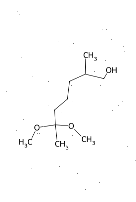 COC(C)(CCCC(C)CO)OC